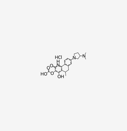 CC1Cc2cc(N3CCC(N(C)C)C3)ccc2-c2[nH]c(=O)c(OC(=O)O)c(O)c21.Cl